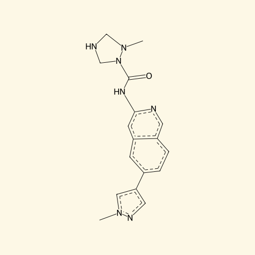 CN1CNCN1C(=O)Nc1cc2cc(-c3cnn(C)c3)ccc2cn1